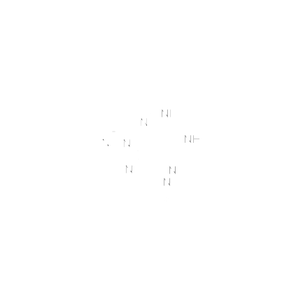 c1cc(NC2CCCNC2)nc(-c2cnc3cnc(-c4cnn5ccccc45)cn23)c1